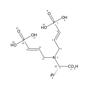 CC(C)[C@@H](C(=O)O)N(CC=CP(=O)(O)O)CC=CP(=O)(O)O